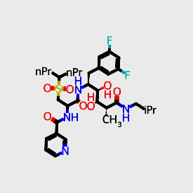 CCCC(CCC)S(=O)(=O)CC(NC(=O)c1cccnc1)C(=O)N[C@@H](Cc1cc(F)cc(F)c1)[C@@H](O)[C@H](O)[C@@H](C)C(=O)NCC(C)C